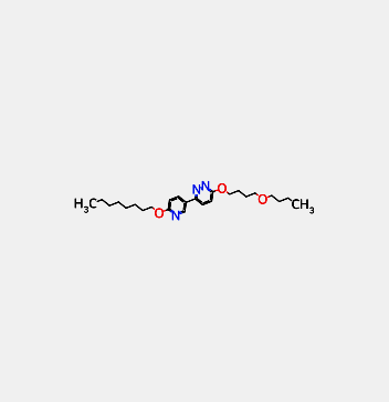 CCCCCCCCOc1ccc(-c2ccc(OCCCCOCCCC)nn2)cn1